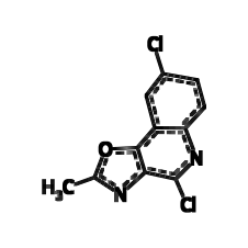 Cc1nc2c(Cl)nc3ccc(Cl)cc3c2o1